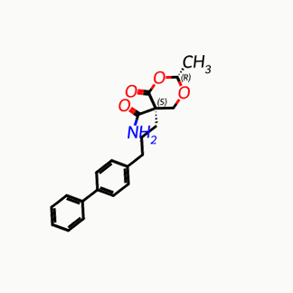 C[C@@H]1OC[C@@](C[CH]Cc2ccc(-c3ccccc3)cc2)(C(N)=O)C(=O)O1